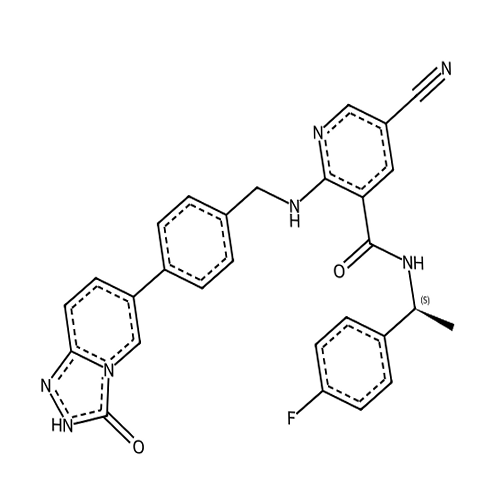 C[C@H](NC(=O)c1cc(C#N)cnc1NCc1ccc(-c2ccc3n[nH]c(=O)n3c2)cc1)c1ccc(F)cc1